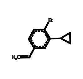 C=[C]c1ccc(CC)c(C2CC2)c1